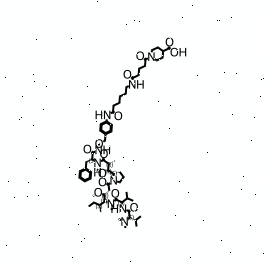 CC[C@H](C)[C@@H]([C@@H](CC(=O)N1CCC[C@H]1[C@H](OC)[C@@H](C)C(=O)N[C@@H](Cc1ccccc1)C(=O)NOCc1ccc(NC(=O)CCCCCNC(=O)CCCC(=O)N2CCC(C(=O)O)CC2)cc1)OC)N(C)C(=O)[C@@H](NC(=O)[C@H](C(C)C)N(C)C)C(C)C